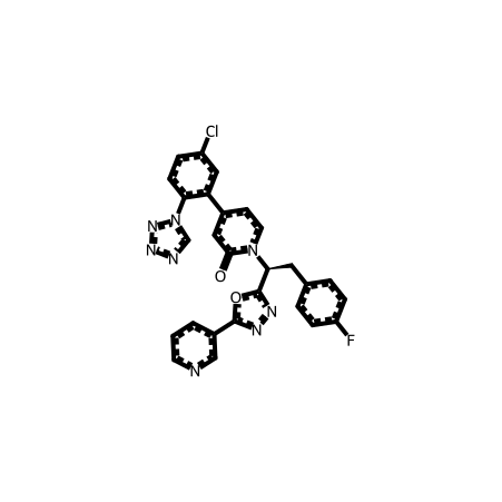 O=c1cc(-c2cc(Cl)ccc2-n2cnnn2)ccn1[C@@H](Cc1ccc(F)cc1)c1nnc(-c2cccnc2)o1